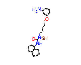 Nc1cccc(OCCCCCN(S)C(=O)Nc2cccc3ccccc23)c1